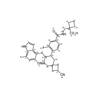 COc1cc(C)c2[nH]ccc2c1CN1CCC2(CC(C#N)C2)CC1c1ccc(C(=O)NCC2(C(=O)O)CCC2)cc1F